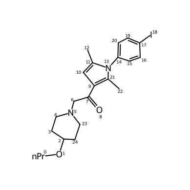 CCCOC1CCN(CC(=O)c2cc(C)n(-c3ccc(I)cc3)c2C)CC1